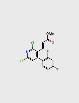 COC(=O)/C=C/c1c(-c2ccc(F)cc2F)cc(Cl)nc1Cl